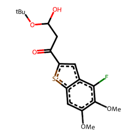 COc1cc2sc(C(=O)CC(O)OC(C)(C)C)cc2c(F)c1OC